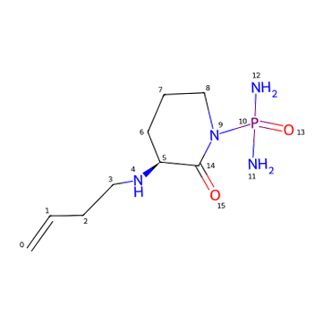 C=CCCN[C@H]1CCCN(P(N)(N)=O)C1=O